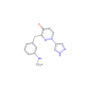 O=C(O)Nc1cccc(Cc2nn(-c3cn[nH]c3)ccc2=O)c1